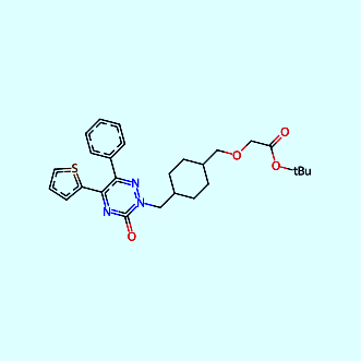 CC(C)(C)OC(=O)COCC1CCC(Cn2nc(-c3ccccc3)c(-c3cccs3)nc2=O)CC1